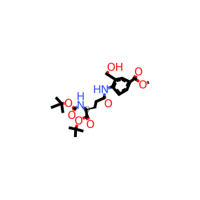 COC(=O)c1ccc(NC(=O)CC[C@H](NC(=O)OC(C)(C)C)C(=O)OC(C)(C)C)c(CO)c1